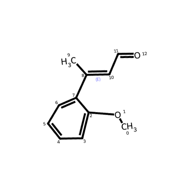 COc1ccccc1/C(C)=C/C=O